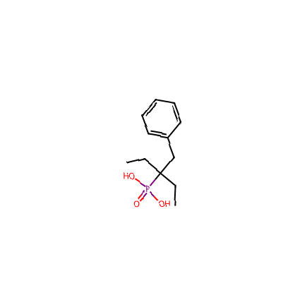 CCC(CC)(Cc1ccccc1)P(=O)(O)O